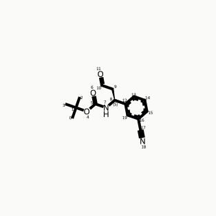 CC(C)(C)OC(=O)N[C@@H](CC=O)c1cccc(C#N)c1